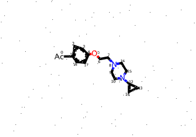 CC(=O)c1ccc(OCCN2CCN(C3CC3)CC2)cc1